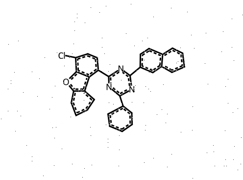 Clc1ccc(-c2nc(-c3ccccc3)nc(-c3ccc4ccccc4c3)n2)c2c1oc1ccccc12